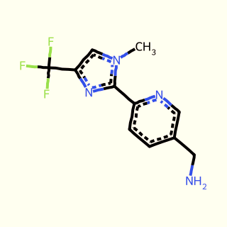 Cn1cc(C(F)(F)F)nc1-c1ccc(CN)cn1